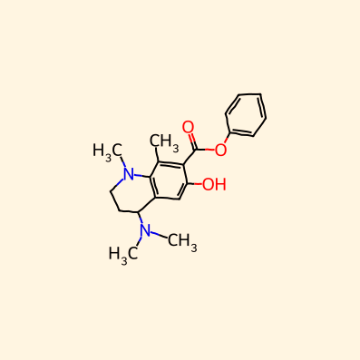 Cc1c(C(=O)Oc2ccccc2)c(O)cc2c1N(C)CCC2N(C)C